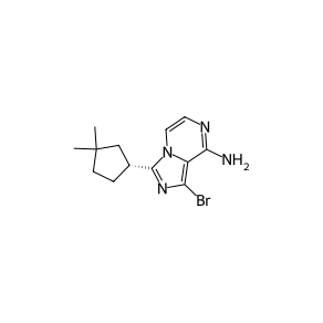 CC1(C)CC[C@@H](c2nc(Br)c3c(N)nccn23)C1